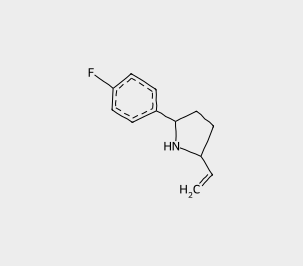 C=CC1CCC(c2ccc(F)cc2)N1